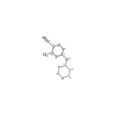 N#Cc1ccc(OC2CC[CH]CC2)cc1Cl